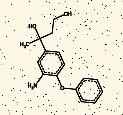 CC(O)(CCO)c1ccc(Oc2ccccc2)c(N)c1